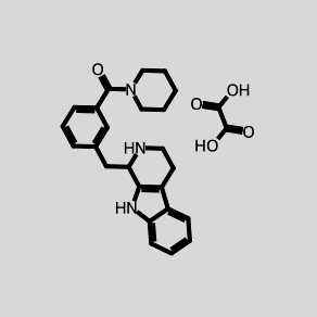 O=C(O)C(=O)O.O=C(c1cccc(CC2NCCc3c2[nH]c2ccccc32)c1)N1CCCCC1